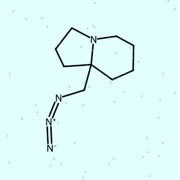 [N-]=[N+]=NCC12CCCCN1CCC2